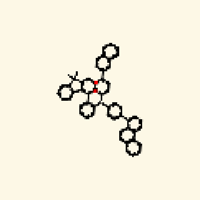 CC1(C)c2ccccc2-c2c(-c3ccccc3N(c3ccc(-c4ccc5ccccc5c4)cc3)c3ccc(-c4cccc5c4ccc4ccccc45)cc3)cccc21